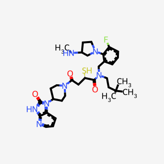 CNC1CCN(c2c(F)cccc2CN(CCC(C)(C)C)C(=O)[C@@H](S)CC(=O)N2CCC(n3c(=O)[nH]c4ncccc43)CC2)C1